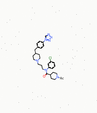 CC(=O)N1CCC(C(=O)N(CCCN2CCC(Cc3ccc(-n4cnnn4)cc3)CC2)c2cccc(Cl)c2)CC1